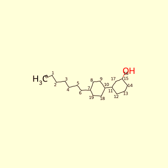 CCCCCCCC1CCC(C2CCCC(O)C2)CC1